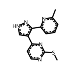 CSc1nccc(-c2c[nH]nc2-c2cccc(C)n2)n1